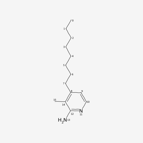 CCCCCCCCc1ccnc(N)c1C